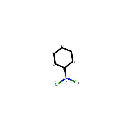 ClN(Cl)C1CCCCC1